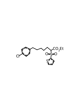 CCOC(=O)C(CCCCCc1ccc(Cl)cc1)S(=O)(=O)c1cccs1